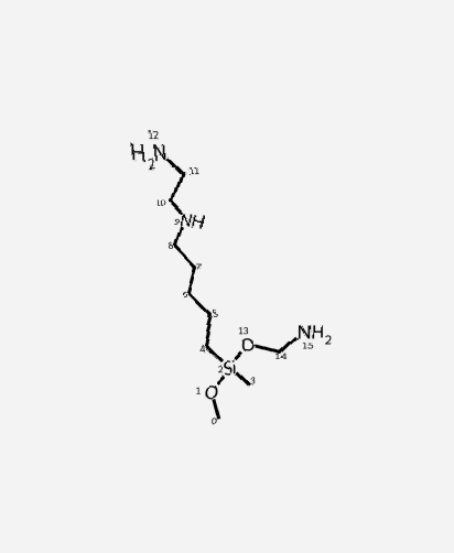 CO[Si](C)(CCCCCNCCN)OCN